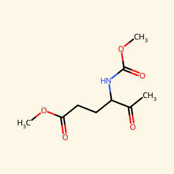 COC(=O)CCC(NC(=O)OC)C(C)=O